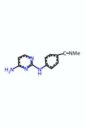 CNCc1ccc(Nc2nccc(N)n2)cc1